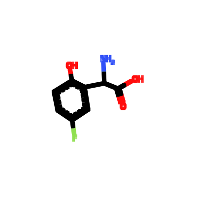 NC(C(=O)O)c1cc(F)ccc1O